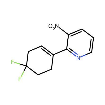 O=[N+]([O-])c1cccnc1C1=CCC(F)(F)CC1